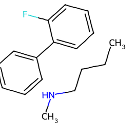 CCCCNC.Fc1ccccc1-c1ccccc1